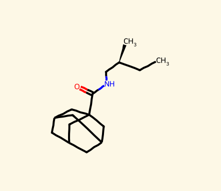 CC[C@H](C)CNC(=O)C12CC3CC(CC(C3)C1)C2